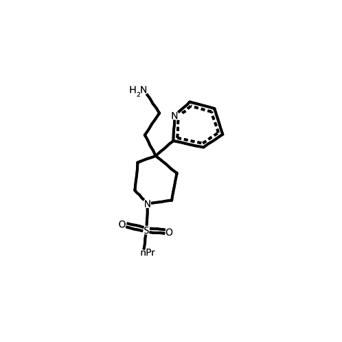 CCCS(=O)(=O)N1CCC(CCN)(c2ccccn2)CC1